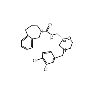 O=C(NC[C@H]1CN(Cc2ccc(Cl)c(Cl)c2)CCO1)N1CCCc2ccccc2C1